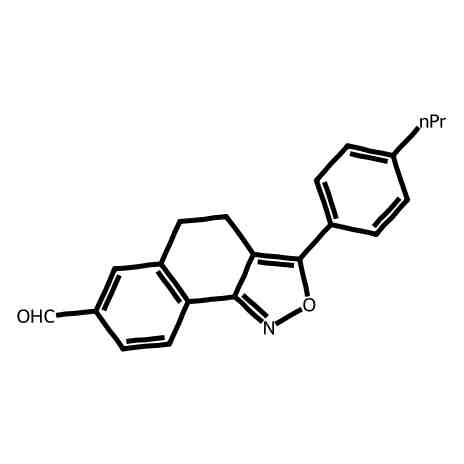 CCCc1ccc(-c2onc3c2CCc2cc(C=O)ccc2-3)cc1